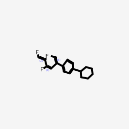 C\C=C(/C=C(F)\C(F)=C\F)c1ccc(C2CCCCC2)cc1